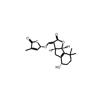 CC1=C[C@H](O/C=C2/C(=O)O[C@@H]3C4=C(C[C@H]23)[C@@H](O)CCC4(C)C)OC1=O